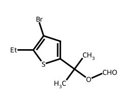 CCc1sc(C(C)(C)OC=O)cc1Br